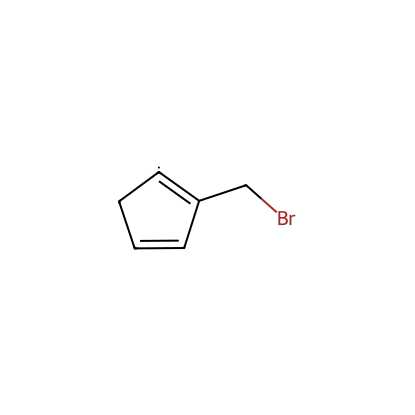 BrCC1=[C]CC=C1